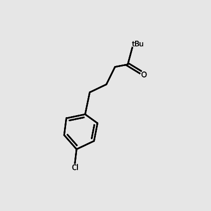 CC(C)(C)C(=O)CCCc1ccc(Cl)cc1